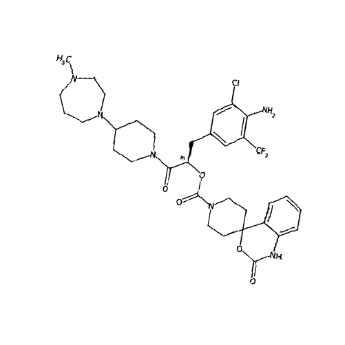 CN1CCCN(C2CCN(C(=O)[C@@H](Cc3cc(Cl)c(N)c(C(F)(F)F)c3)OC(=O)N3CCC4(CC3)OC(=O)Nc3ccccc34)CC2)CC1